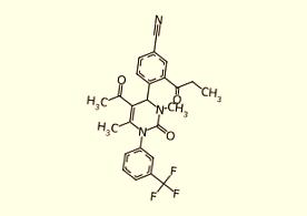 CCC(=O)c1cc(C#N)ccc1C1C(C(C)=O)=C(C)N(c2cccc(C(F)(F)F)c2)C(=O)N1C